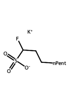 CCCCCCCC(F)S(=O)(=O)[O-].[K+]